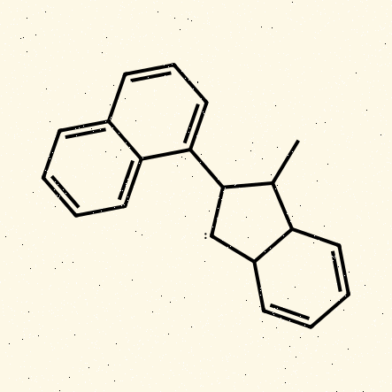 CC1C(c2cccc3ccccc23)[C]C2C=CC=CC21